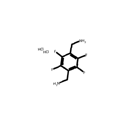 Cl.Cl.NCc1c(F)c(F)c(CN)c(F)c1F